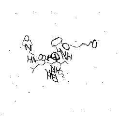 COCCCCCOc1ccccc1C(=O)NC(C)C(CC(N)C(O)CC(C(=O)NCCN1CCOCC1)C(C)C)C(C)C.Cl.Cl